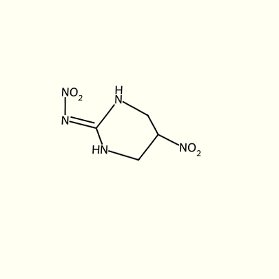 O=[N+]([O-])N=C1NCC([N+](=O)[O-])CN1